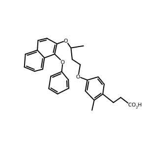 Cc1cc(OCCC(C)Oc2ccc3ccccc3c2Oc2ccccc2)ccc1CCC(=O)O